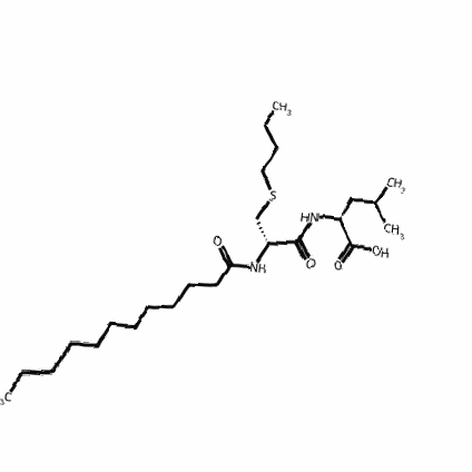 CCCCCCCCCCCC(=O)N[C@H](CSCCCC)C(=O)N[C@@H](CC(C)C)C(=O)O